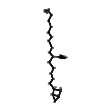 [CH2]CCCCCCCCC(C#N)CCCCC[C]1OC2CC12